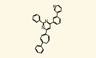 C1=CC(c2cc(-c3cccc(-c4cccnc4)c3)nc(-c3ccccc3)n2)=CC=C(c2ccccc2)C1